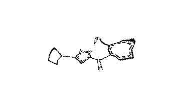 Brc1ccccc1Nc1cc(C2CCC2)n[nH]1